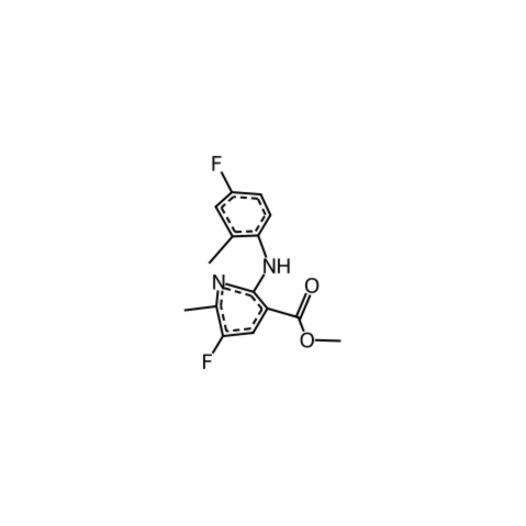 COC(=O)c1cc(F)c(C)nc1Nc1ccc(F)cc1C